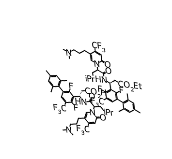 CCOC(=O)C[C@H](NC(=O)C(CC(C)C)n1cc(CCCN(C)C)c(C(F)(F)F)cc1=O)c1c(F)c(-c2c(C)cc(C)cc2C)cc(C(F)(F)F)c1F.Cc1cc(C)c(-c2cc(C(F)(F)F)c(F)c([C@H](CC(=O)O)NC(=O)C(CC(C)C)n3cc(CCCN(C)C)c(C(F)(F)F)cc3=O)c2F)c(C)c1